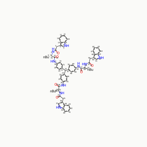 CCCC[C@H](NC(=O)Cc1c[nH]c2ccccc12)C(=O)Nc1ccc(C(c2ccc(NC(=O)[C@H](CCCC)NC(=O)Cc3c[nH]c4ccccc34)cc2)c2ccc(NC(=O)[C@H](CCCC)NC(=O)Cc3c[nH]c4ccccc34)cc2)cc1